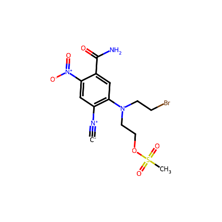 [C-]#[N+]c1cc([N+](=O)[O-])c(C(N)=O)cc1N(CCBr)CCOS(C)(=O)=O